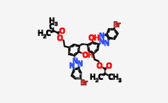 C=C(C)C(=O)OCCc1cc(Cc2cc(CCOC(=O)C(=C)C)cc(-n3nc4ccc(Br)cc4n3)c2O)c(O)c(-n2nc3ccc(Br)cc3n2)c1